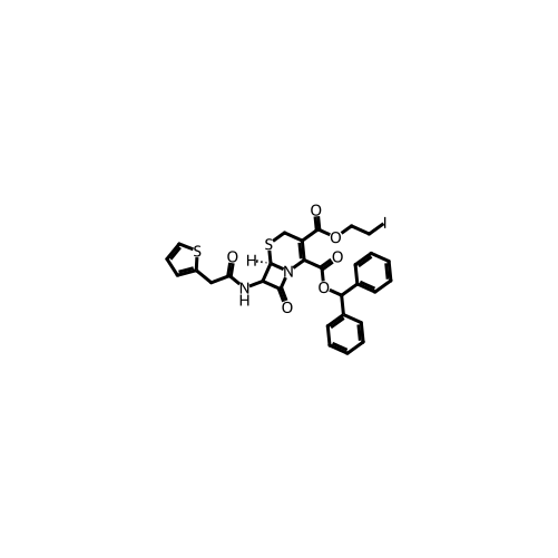 O=C(Cc1cccs1)NC1C(=O)N2C(C(=O)OC(c3ccccc3)c3ccccc3)=C(C(=O)OCCI)CS[C@H]12